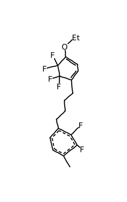 CCOC1=CC=C(CCCCc2ccc(C)c(F)c2F)C(F)(F)C1(F)F